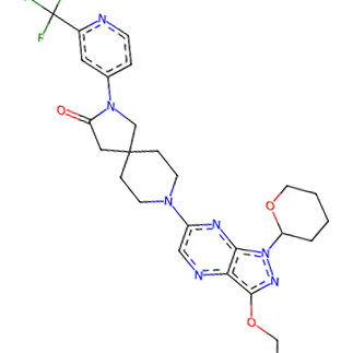 CCOc1nn(C2CCCCO2)c2nc(N3CCC4(CC3)CC(=O)N(c3ccnc(C(F)(F)F)c3)C4)cnc12